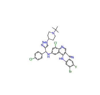 CC(C)(C)N1CCC(n2cc([C@@H](Nc3cc(Cl)c4ncc(C#N)c(Nc5ccc(F)c(Br)c5)c4c3)c3ccc(Cl)cc3)nn2)CC1